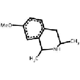 COc1ccc2c(c1)C(C)NC(C)C2